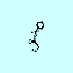 CC(=O)CC(=O)O[C@@H](C)c1ccccc1